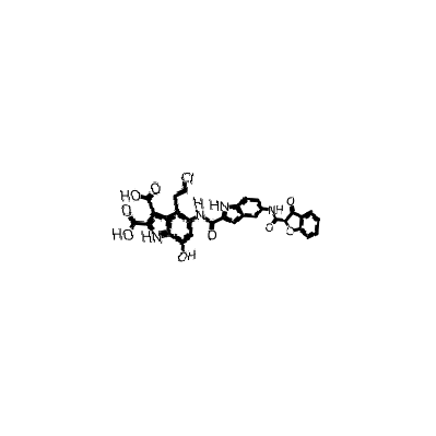 O=C(Nc1cc(O)c2[nH]c(C(=O)O)c(C(=O)O)c2c1CCCl)c1cc2cc(NC(=O)C3Oc4ccccc4C3=O)ccc2[nH]1